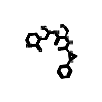 CC(C)C[C@H](NC(=O)[C@@H]1C[C@H]1c1ccccc1)C(=O)N[C@H](C#N)C[C@@H]1CCCNC1=O